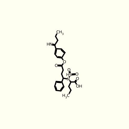 CCCC(=N)c1ccc(OC(=O)CCC(c2ccccc2)N(C(CCC)C(=O)O)[SH](=O)=O)cc1